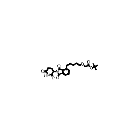 CC(C)(C)OC(=O)COCCC/C=C\c1cccc2c1C(=O)N(C1CCC(=O)NC1=O)C2=O